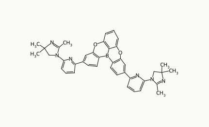 CC1=NC(C)(C)CN1c1cccc(-c2ccc3c(c2)Oc2cccc4c2B3c2ccc(-c3cccc(N5CC(C)(C)N=C5C)n3)cc2O4)n1